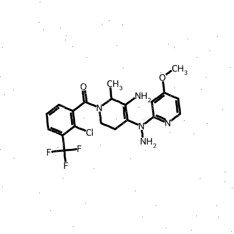 COc1ccnc(N(N)C2=C(N)C(C)N(C(=O)c3cccc(C(F)(F)F)c3Cl)CC2)c1